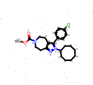 CC(C)(C)OC(=O)N1CCc2nn(C3CCCCCCC3)c(-c3ccc(Cl)cc3)c2CC1